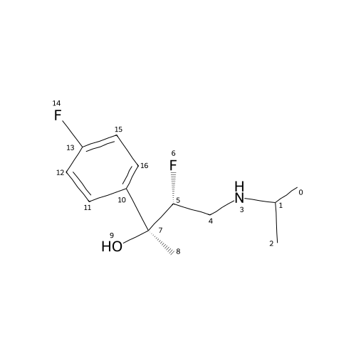 CC(C)NC[C@@H](F)[C@@](C)(O)c1ccc(F)cc1